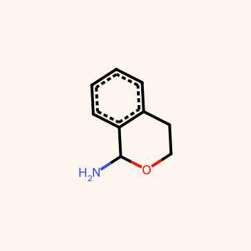 NC1OCCc2ccccc21